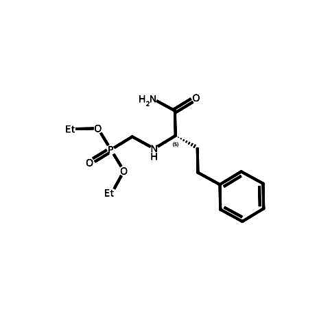 CCOP(=O)(CN[C@@H](CCc1ccccc1)C(N)=O)OCC